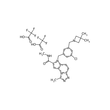 CNC(=O)c1cc2c(ccc3nnc(C)n32)n1Cc1cc(Cl)cc(CN2CC(C)(C)C2)c1.O=C(O)C(F)(F)F.O=C(O)C(F)(F)F